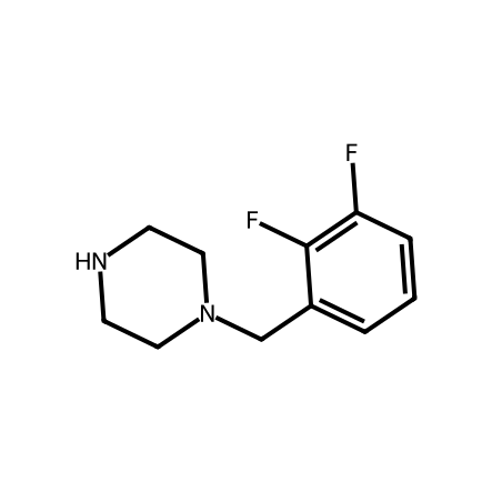 Fc1cccc(CN2CCNCC2)c1F